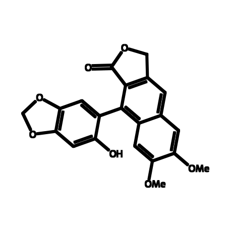 COc1cc2cc3c(c(-c4cc5c(cc4O)OCO5)c2cc1OC)C(=O)OC3